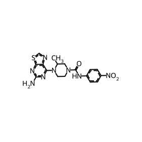 CC1CN(C(=O)Nc2ccc([N+](=O)[O-])cc2)CCN1c1nc(N)nc2scnc12